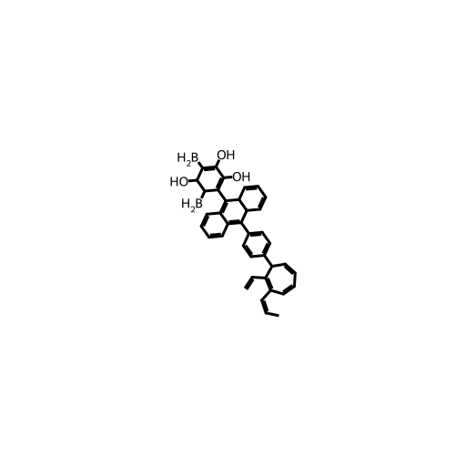 BC1=C(O)C(O)=C(C2=c3ccccc3=C(c3ccc(C4C=CC=CC(/C=C\C)=C4C=C)cc3)C3C=CC=CC23)C(B)C1O